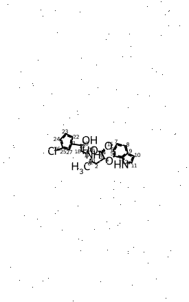 C[C@H](CC(Oc1cccc2cc[nH]c12)C(=O)O)NCC(O)c1cccc(Cl)c1